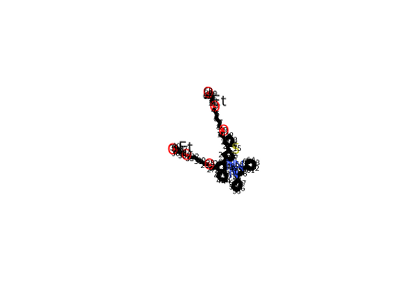 CCC1(COCCCCCOCc2ccc3sc4cc5c(cc4c3c2)c2cc(COCCCCCOCC3(CC)COC3)c3ccccc3c2n5-c2nc(-c3ccccc3)cc(-c3ccccc3)n2)COC1